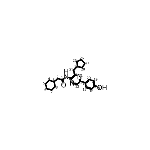 O=C(CC1CCCCC1)Nc1ncc(-c2ccc(O)cc2)nc1CC1CCCC1